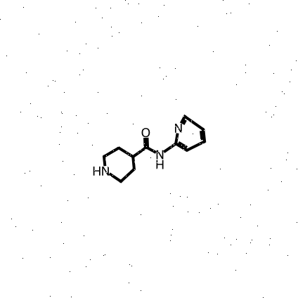 O=C(Nc1ccccn1)C1CCNCC1